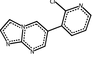 Clc1ncccc1-c1cnc2nccn2c1